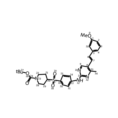 COc1cccc(/C=C/c2cnc(Nc3ccc(S(=O)(=O)C4CCN(C(=O)OC(C)(C)C)CC4)cc3)nc2C)c1